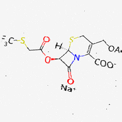 CC(=O)OCC1=C(C(=O)[O-])N2C(=O)[C@@H](OC(=O)CSC(F)(F)F)[C@H]2SC1.[Na+]